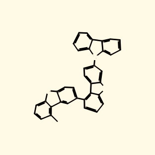 Cc1cccc2oc3ccc(-c4cccc5oc6cc(-n7c8ccccc8c8ccccc87)ccc6c45)cc3c12